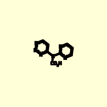 O=C(O)N(c1ccnnn1)c1ncccn1